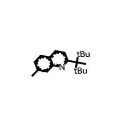 Cc1ccc2ccc(C(C)(C(C)(C)C)C(C)(C)C)nc2c1